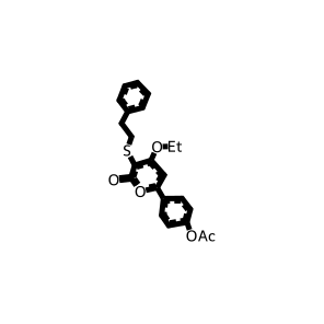 CCOc1cc(-c2ccc(OC(C)=O)cc2)oc(=O)c1SCCc1ccccc1